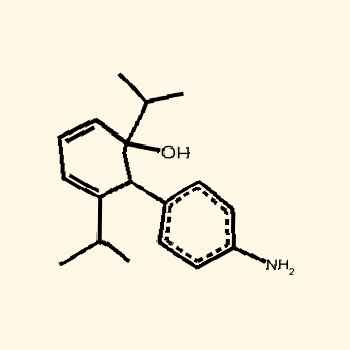 CC(C)C1=CC=CC(O)(C(C)C)C1c1ccc(N)cc1